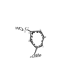 COc1[c]c(C(=O)O)ccc1